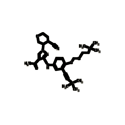 C[Si](C)(C)C#Cc1cc(Nc2nn(C3COCCC3C#N)cc2C(N)=O)ccc1OCOCC[Si](C)(C)C